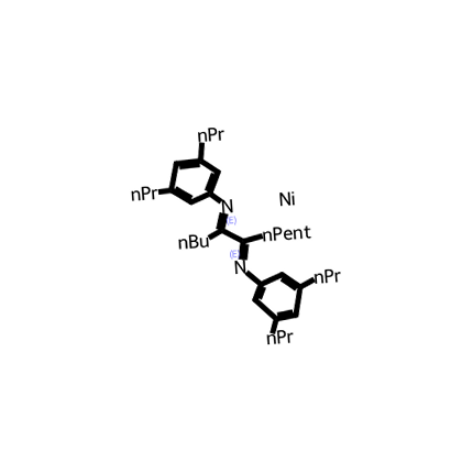 CCCCCC(=N\c1cc(CCC)cc(CCC)c1)/C(CCCC)=N/c1cc(CCC)cc(CCC)c1.[Ni]